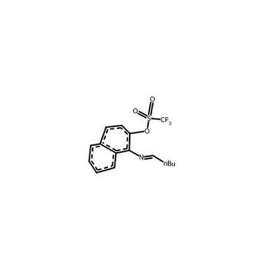 CCCCC=Nc1c(OS(=O)(=O)C(F)(F)F)ccc2ccccc12